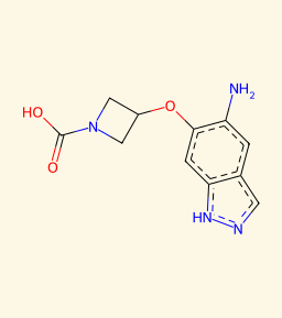 Nc1cc2cn[nH]c2cc1OC1CN(C(=O)O)C1